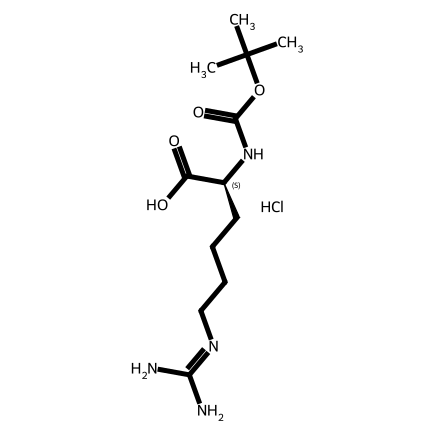 CC(C)(C)OC(=O)N[C@@H](CCCCN=C(N)N)C(=O)O.Cl